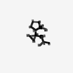 CC(C)OC1([C@H]2CCCN2C)CC1